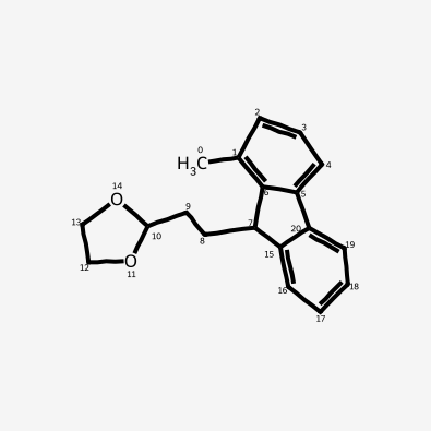 Cc1cccc2c1C(CCC1OCCO1)c1ccccc1-2